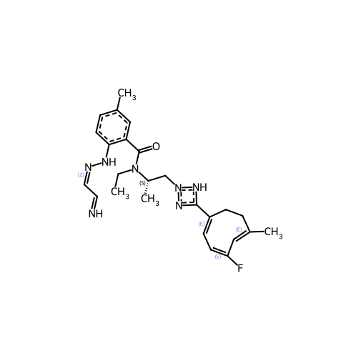 CCN(C(=O)c1cc(C)ccc1N/N=C\C=N)[C@@H](C)Cn1nc(/C2=C/C=C(F)\C=C(/C)CC2)[nH]1